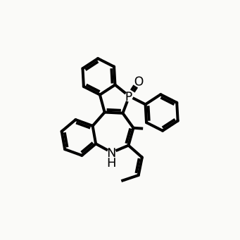 C/C=C\C1=C(C)C2=C(c3ccccc3N1)c1ccccc1P2(=O)c1ccccc1